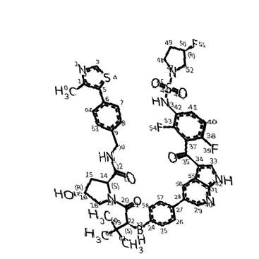 Cc1ncsc1-c1ccc(CNC(=O)[C@@H]2C[C@@H](O)CN2C(=O)[C@@H](Bc2ccc(-c3cnc4[nH]cc(C(=O)c5c(F)ccc(NS(=O)(=O)N6CC[C@@H](F)C6)c5F)c4c3)cc2)C(C)(C)C)cc1